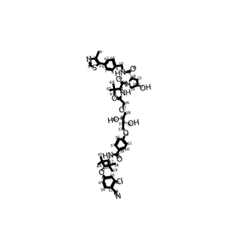 Cc1ncsc1-c1ccc(CNC(=O)[C@@H]2C[C@@H](O)CN2C(=O)C(NC(=O)COC[C@@H](O)[C@H](O)COc2ccc(C(=O)N[C@H]3C(C)(C)[C@H](Oc4ccc(C#N)c(Cl)c4)C3(C)C)cc2)C(C)(C)C)cc1